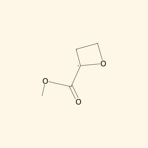 COC(=O)[C]1CCO1